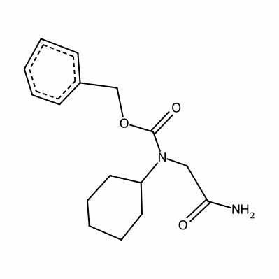 NC(=O)CN(C(=O)OCc1ccccc1)C1CCCCC1